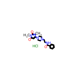 Cl.Cn1c(N2CCN(CCNC(=O)c3ccccc3)CC2)cc(=O)n(C)c1=O